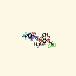 CCc1cc(OCC=C(Cl)Cl)cc(CC)c1OCCCNC(=O)c1ccc(C(F)(F)F)cc1F